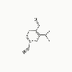 CC(C)c1cc(C#N)ccc1C=O